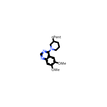 CCCCCC1CCCN(c2ncnc3cc(OC)c(OC)cc23)C1